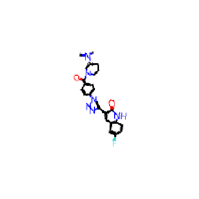 CN(C)[C@@H]1CCCN(C(=O)c2ccc(-n3cc(-c4cc5cc(F)ccc5[nH]c4=O)nn3)cc2)C1